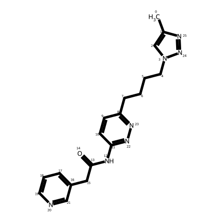 Cc1cn(CCCCc2ccc(NC(=O)Cc3cccnc3)nn2)nn1